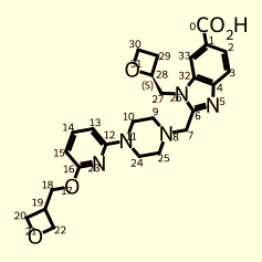 O=C(O)c1ccc2nc(CN3CCN(c4cccc(OCC5COC5)n4)CC3)n(C[C@@H]3CCO3)c2c1